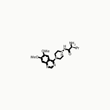 COc1cc2ncnc(N3CC[SH](NC(=O)[C@@H](N)C(C)C)CC3)c2cc1OC